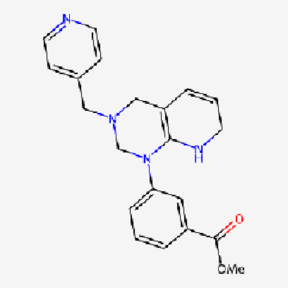 COC(=O)c1cccc(N2CN(Cc3ccncc3)CC3=C2NCC=C3)c1